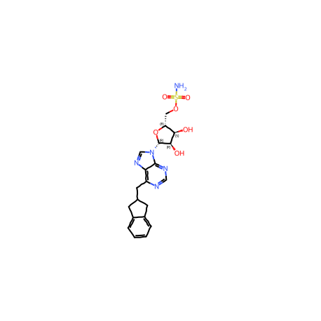 NS(=O)(=O)OC[C@H]1O[C@@H](n2cnc3c(CC4Cc5ccccc5C4)ncnc32)[C@H](O)[C@@H]1O